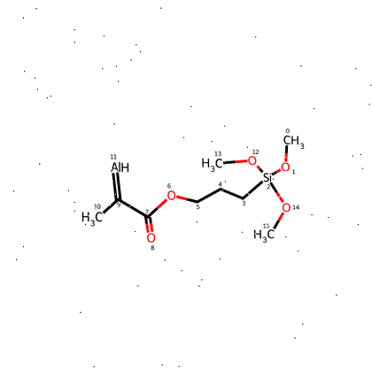 CO[Si](CCCOC(=O)[C](C)=[AlH])(OC)OC